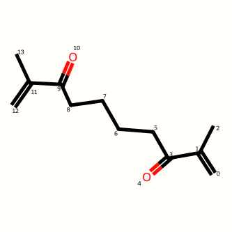 C=C(C)C(=O)CCCCC(=O)C(=C)C